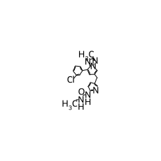 CCNC(=O)Nc1ccc(Cc2cc(-c3cccc(Cl)c3)c3nc(C)nn3c2)cn1